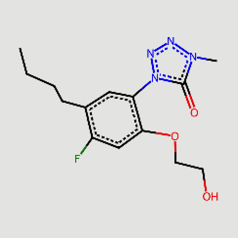 CCCCc1cc(-n2nnn(C)c2=O)c(OCCO)cc1F